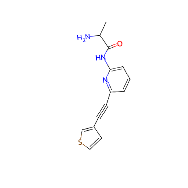 CC(N)C(=O)Nc1cccc(C#Cc2ccsc2)n1